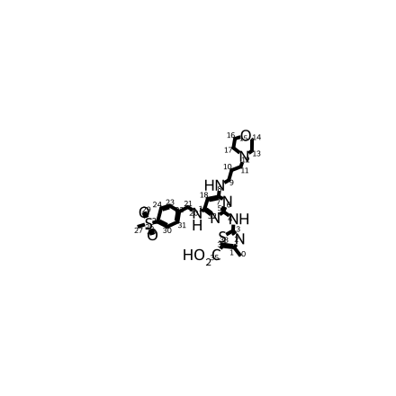 Cc1nc(Nc2nc(NCCCN3CCOCC3)cc(NCc3ccc(S(C)(=O)=O)cc3)n2)sc1C(=O)O